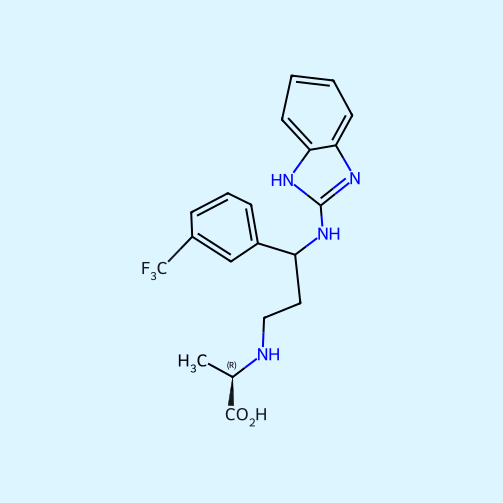 C[C@@H](NCCC(Nc1nc2ccccc2[nH]1)c1cccc(C(F)(F)F)c1)C(=O)O